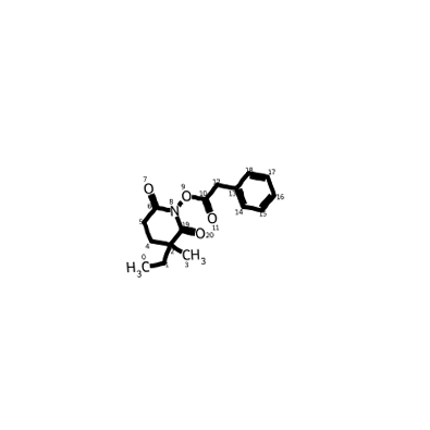 CCC1(C)CCC(=O)N(OC(=O)Cc2ccccc2)C1=O